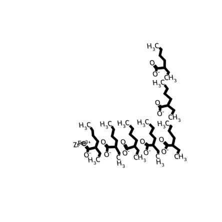 CCCCC(CC)C(=O)[O-].CCCCC(CC)C(=O)[O-].CCCCC(CC)C(=O)[O-].CCCCC(CC)C(=O)[O-].CCCCC(CC)C(=O)[O-].CCCCC(CC)C(=O)[O-].CCCCC(CC)C(=O)[O-].[Fe+3].[Zr+4]